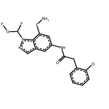 NSc1cc(NC(=O)Cc2ccccc2Cl)cc2cnn(C(F)OF)c12